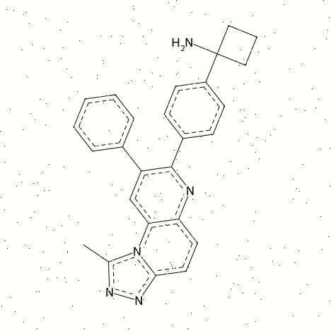 Cc1nnc2ccc3nc(-c4ccc(C5(N)CCC5)cc4)c(-c4ccccc4)cc3n12